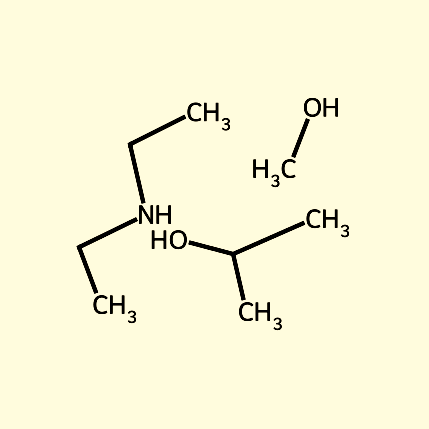 CC(C)O.CCNCC.CO